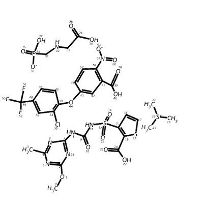 COc1nc(C)nc(NC(=O)NS(=O)(=O)c2ccsc2C(=O)O)n1.C[S+](C)C.O=C(O)CNCP(=O)([O-])O.O=C(O)c1cc(Oc2ccc(C(F)(F)F)cc2Cl)ccc1[N+](=O)[O-]